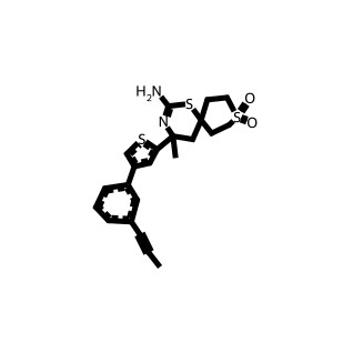 CC#Cc1cccc(-c2csc(C3(C)CC4(CCS(=O)(=O)CC4)SC(N)=N3)c2)c1